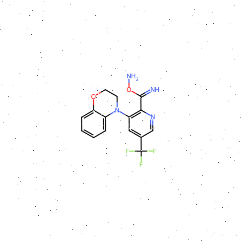 N=C(ON)c1ncc(C(F)(F)F)cc1N1CCOc2ccccc21